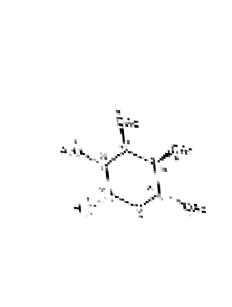 CC(=O)O[C@@H]1O[C@H](C)[C@H](OC(C)=O)[C@@H](OC(C)=O)[C@H]1OC(C)=O